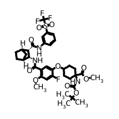 COC(=O)C1(NC(=O)OC(C)(C)C)CCC(Oc2cc(C(=O)N[C@@H]3[C@H]4CC[C@H](C4)[C@@H]3C(=O)Nc3cccc(S(=O)(=O)C(F)(F)F)c3)c(OC)cc2F)CC1